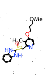 COCCCOc1ccnc(C[S+]([O-])C2Nc3ccccc3N2)c1C